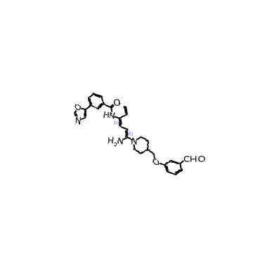 C=C/C(=C\C=C(/N)N1CCC(COc2cccc(C=O)c2)CC1)NC(=O)c1cccc(-c2cnco2)c1